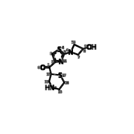 O=C(c1csc(N2CC(O)C2)n1)C1CNCCS1